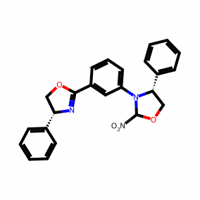 O=[N+]([O-])C1OC[C@@H](c2ccccc2)N1c1cc[c]c(C2=N[C@H](c3ccccc3)CO2)c1